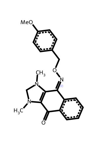 COc1ccc(CO/N=C2\C3=C(C(=O)c4ccccc42)N(C)CN3C)cc1